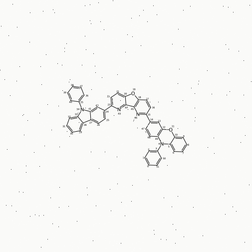 c1ccc(N2c3ccccc3Oc3cc(-c4ccc5oc6ccc(-c7ccc8c9ccccc9n(-c9ccccc9)c8c7)nc6c5n4)ccc32)cc1